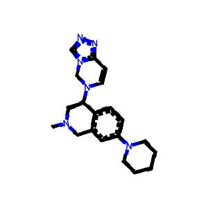 CN1Cc2cc(N3CCCCC3)ccc2C(N2C=Cc3nncn3C2)C1